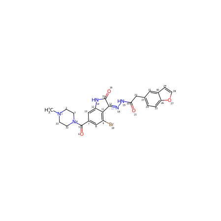 CN1CCN(C(=O)c2cc(Br)c3c(c2)NC(=O)/C3=N\NC(=O)Cc2ccc3occc3c2)CC1